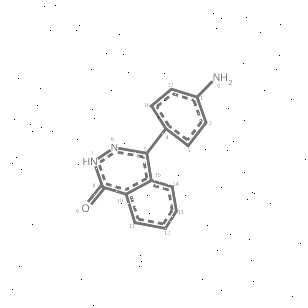 Nc1ccc(-c2n[nH]c(=O)c3ccccc23)cc1